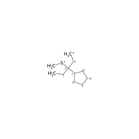 CCC(CC)(SC)C1CCCC1